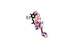 CCc1c(C)c2c(c(O)c1C/C=C(\C)CP(=O)(N[C@@H](C)C(=O)OCCCN1CCOCC1)ON=C(C)C)C(=O)OC2